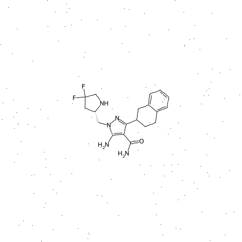 NC(=O)c1c(C2CCc3ccccc3C2)nn(C[C@@H]2CC(F)(F)CN2)c1N